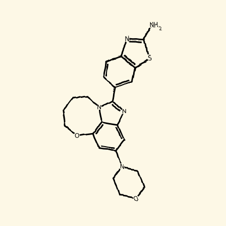 Nc1nc2ccc(-c3nc4cc(N5CCOCC5)cc5c4n3CCCCO5)cc2s1